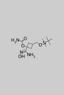 CC(C)(C)[Si](C)(C)OCC1CC(OC(N)=O)(/C(N)=N/O)C1